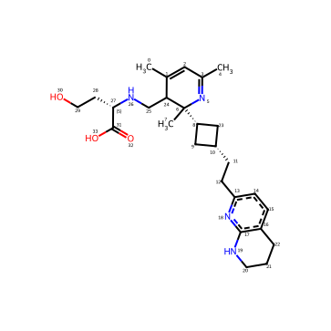 CC1=CC(C)=NC(C)([C@H]2C[C@@H](CCc3ccc4c(n3)NCCC4)C2)C1CN[C@@H](CCO)C(=O)O